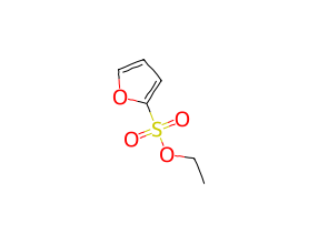 CCOS(=O)(=O)c1ccco1